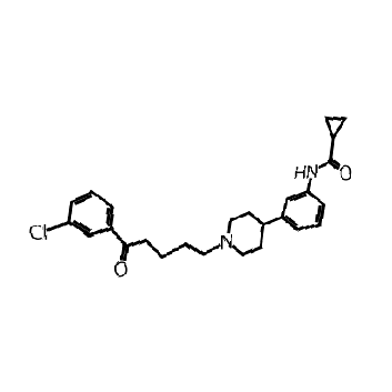 O=C(CCCCN1CCC(c2cccc(NC(=O)C3CC3)c2)CC1)c1cccc(Cl)c1